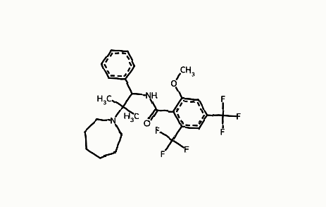 COc1cc(C(F)(F)F)cc(C(F)(F)F)c1C(=O)NC(c1ccccc1)C(C)(C)N1CCCCCC1